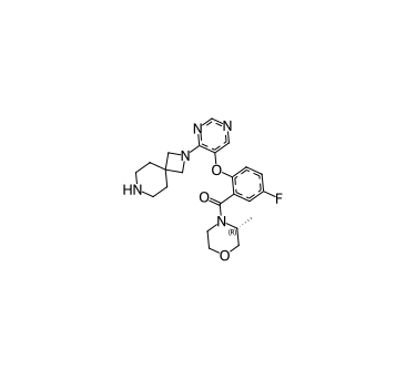 C[C@@H]1COCCN1C(=O)c1cc(F)ccc1Oc1cncnc1N1CC2(CCNCC2)C1